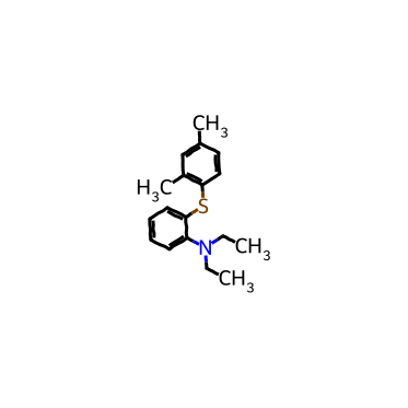 CCN(CC)c1ccccc1Sc1ccc(C)cc1C